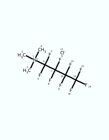 C[N+](C)(C)C(F)(F)C(F)(F)C(F)(F)C(F)(F)F.[Cl-]